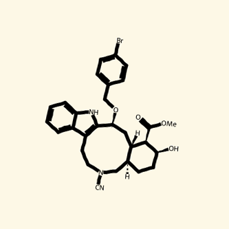 COC(=O)[C@@H]1[C@H]2C[C@H](OCc3ccc(Br)cc3)c3[nH]c4ccccc4c3CCN(C#N)C[C@@H]2CC[C@@H]1O